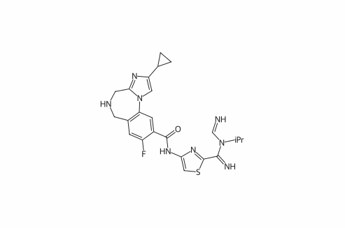 CC(C)N(C=N)C(=N)c1nc(NC(=O)c2cc3c(cc2F)CNCc2nc(C4CC4)cn2-3)cs1